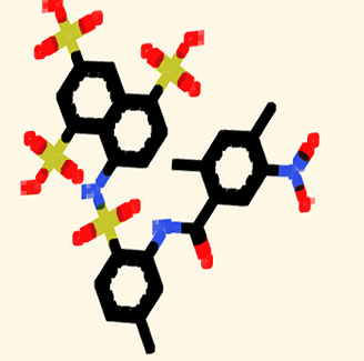 Cc1ccc(S(=O)(=O)Nc2ccc(S(=O)(=O)O)c3cc(S(=O)(=O)O)cc(S(=O)(=O)O)c23)c(NC(=O)c2cc([N+](=O)[O-])c(C)cc2C)c1